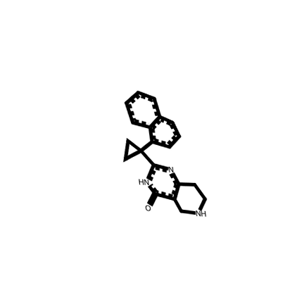 O=c1[nH]c(C2(c3cccc4ccccc34)CC2)nc2c1CNCC2